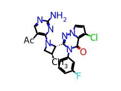 CC(=O)c1cnc(N)nc1N1C[C@H](C)[C@H]1c1nn2ccc(Cl)c2c(=O)n1-c1cccc(F)c1